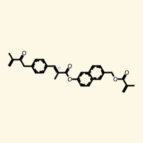 C=C(C)C(=O)Cc1ccc(/C=C(\C)C(=O)Oc2ccc3cc(COC(=O)C(=C)C)ccc3c2)cc1